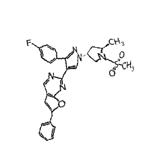 C[C@@H]1C[C@@H](n2cc(-c3ncc4cc(-c5ccccc5)oc4n3)c(-c3ccc(F)cc3)n2)CN1S(C)(=O)=O